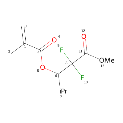 C=C(C)C(=O)OC(C(C)C)C(F)(F)C(=O)OC